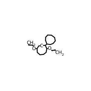 C=CCOC1CCCCC(OCC=C)C(C2CCCCCCCC2)CC1